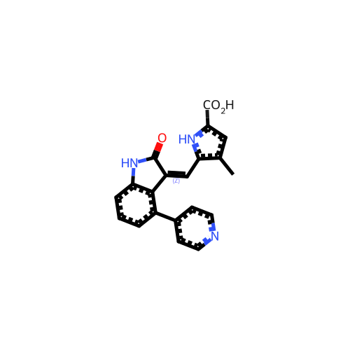 Cc1cc(C(=O)O)[nH]c1/C=C1\C(=O)Nc2cccc(-c3ccncc3)c21